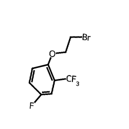 Fc1ccc(OCCBr)c(C(F)(F)F)c1